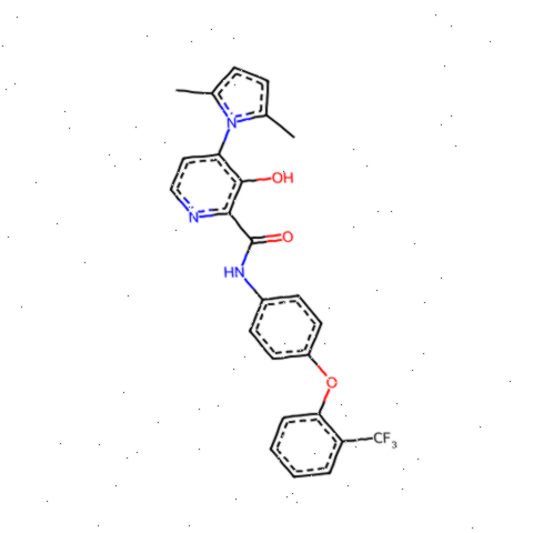 Cc1ccc(C)n1-c1ccnc(C(=O)Nc2ccc(Oc3ccccc3C(F)(F)F)cc2)c1O